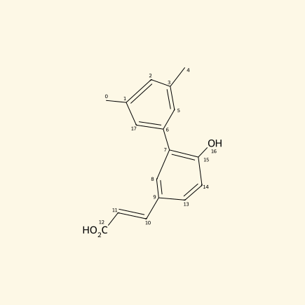 Cc1cc(C)cc(-c2cc(C=CC(=O)O)ccc2O)c1